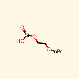 CCCOCCO[Si](=O)O